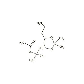 CC(=O)OC(C)(C)C.CC1(C)OCCC(CCN)O1